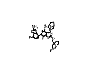 Cc1nc(-c2ccc(F)c3sc(N)nc23)c(F)c2nc(OC[C@@]34CCCN3C[C@H](F)C4)nc(N3CC4CCC(C3)N4)c12